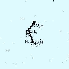 Cc1ccc(CCCCCC2(C(=O)O)CC2)c(C)c1CCCCCC(C)(C)C(=O)O